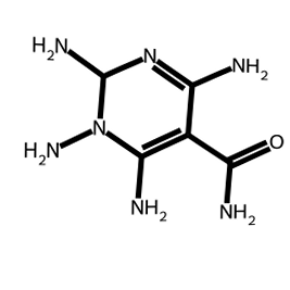 NC(=O)C1=C(N)N(N)C(N)N=C1N